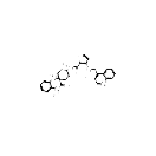 O=C(NC1CCC2(CC1)Nc1ccccc1NC2=O)c1sccc1NCc1ccnc2ccccc12